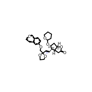 O=C1C[C@@H]2[C@@H](/C=C/C3(COc4ccc5ccccc5c4)OCCO3)[C@H](OC3CCCCO3)C[C@@H]2O1